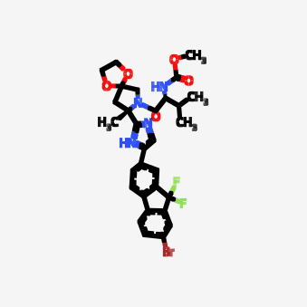 COC(=O)N[C@H](C(=O)N1CC2(C[C@@]1(C)c1ncc(-c3ccc4c(c3)C(F)(F)c3cc(Br)ccc3-4)[nH]1)OCCO2)C(C)C